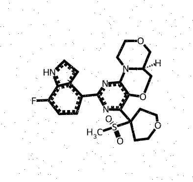 CS(=O)(=O)C1(c2nc(-c3ccc(F)c4[nH]ccc34)nc3c2OC[C@@H]2COCCN32)CCOCC1